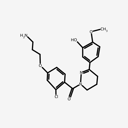 COc1ccc(C2=NN(C(=O)c3ccc(OCCCN)cc3Cl)CCC2)cc1O